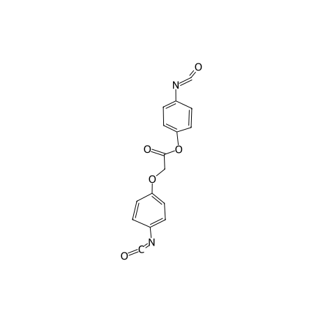 O=C=Nc1ccc(OCC(=O)Oc2ccc(N=C=O)cc2)cc1